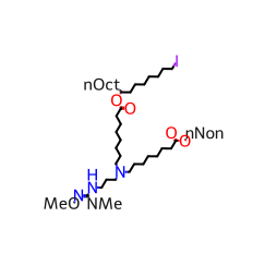 CCCCCCCCCOC(=O)CCCCCCCN(CCCCCCCC(=O)OC(CCCCCCCC)CCCCCCCI)CCCN/C(=N/OC)NC